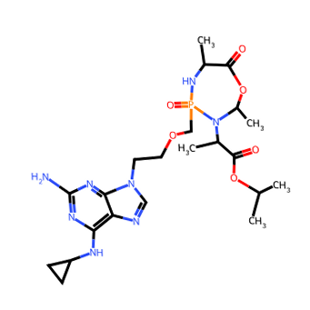 CC(C)OC(=O)C(C)N1C(C)OC(=O)C(C)NP1(=O)COCCn1cnc2c(NC3CC3)nc(N)nc21